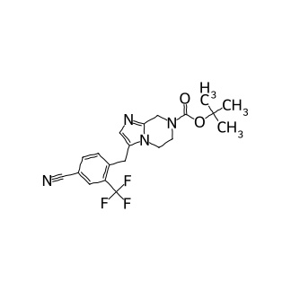 CC(C)(C)OC(=O)N1CCn2c(Cc3ccc(C#N)cc3C(F)(F)F)cnc2C1